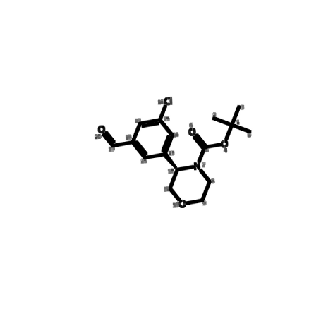 CC(C)(C)OC(=O)N1CCOC[C@H]1c1cc(Cl)cc(C=O)c1